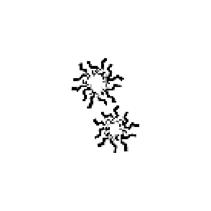 C=CC[Si]1(CCC)O[Si](CC=C)(CCC)O[Si](CC=C)(CCC)O[Si](CC=C)(CCC)O[Si](CC=C)(CCC)O1.C=CC[Si]1(CCC)O[Si](CC=C)(CCC)O[Si](CC=C)(CCC)O[Si](CC=C)(CCC)O[Si](CC=C)(CCC)O[Si](CC=C)(CCC)O1